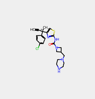 C#C[C@@](C)(c1ccc(Cl)cc1)c1csc(NC(=O)N2CC(CN3CCNCC3)C2)n1